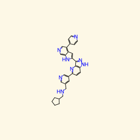 c1cc(-c2cncc3[nH]c(-c4n[nH]c5ccc(-c6cncc(CNCC7CCCC7)c6)nc45)cc23)ccn1